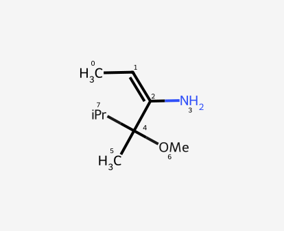 C/C=C(/N)C(C)(OC)C(C)C